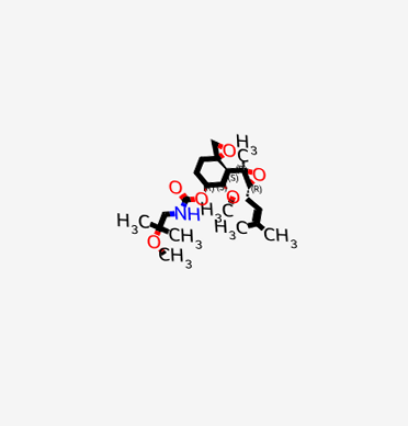 CO[C@@H]1[C@H](OC(=O)NCC(C)(C)OC)CCC2(CO2)[C@H]1[C@@]1(C)O[C@@H]1CC=C(C)C